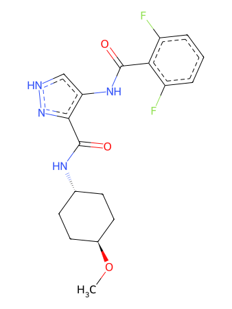 CO[C@H]1CC[C@H](NC(=O)c2n[nH]cc2NC(=O)c2c(F)cccc2F)CC1